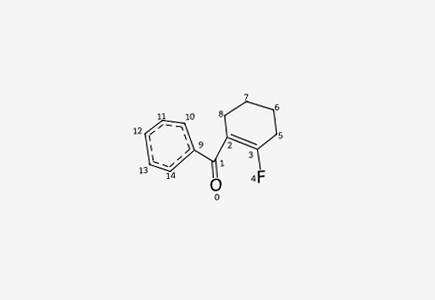 O=C(C1=C(F)CCCC1)c1ccccc1